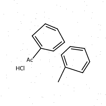 CC(=O)c1ccccc1.Cc1ccccc1.Cl